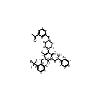 CC(=O)c1cccc(CN2CCN(c3c(C)n(Cc4c(F)cccc4C(F)(F)F)c(=O)n(C[C@H](N)c4ccccc4)c3=O)CC2)c1